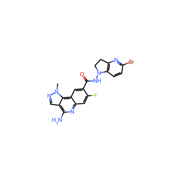 Cn1ncc2c(N)nc3cc(F)c(C(=O)NN4CCc5nc(Br)ccc54)cc3c21